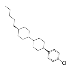 CCCCC[C@H]1CC[C@H]([C@H]2CC[C@H](c3ccc(Cl)cc3)CC2)CC1